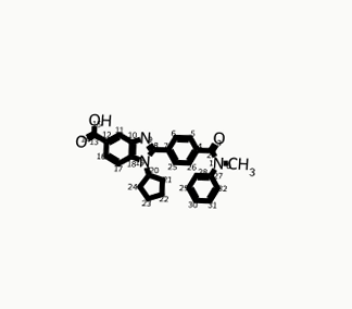 CN(C(=O)c1ccc(-c2nc3cc(C(=O)O)ccc3n2C2CCCC2)cc1)c1ccccc1